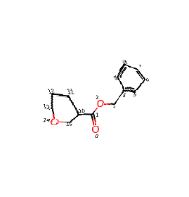 O=C(OCc1ccccc1)C1CCCOC1